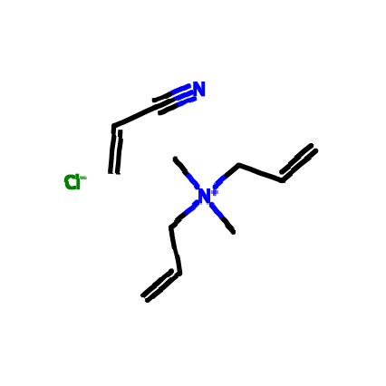 C=CC#N.C=CC[N+](C)(C)CC=C.[Cl-]